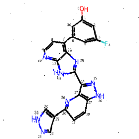 Oc1cc(F)cc(-c2ccnc3[nH]c(-c4n[nH]c5ccc(-c6cn[nH]c6)nc45)nc23)c1